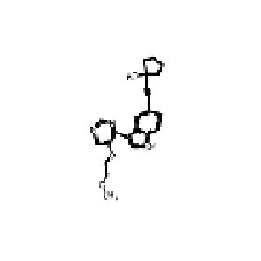 COCCOc1cncnc1-c1c[nH]c2ccc(C#CC3(O)CCCC3)cc12